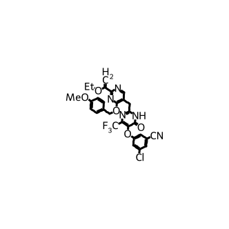 C=C(OCC)c1ncc(Cc2nc(C(F)(F)F)c(Oc3cc(Cl)cc(C#N)c3)c(=O)[nH]2)c(OCc2ccc(OC)cc2)n1